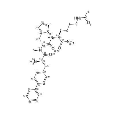 CC(=O)NCCCC[C@H](NC(=O)[C@@H](Cc1cccs1)N(C)C(=O)[C@H](N)Cc1ccc(-c2ccccc2)cc1)C(N)=O